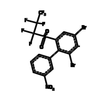 O=[N+]([O-])c1cccc(-c2c(Br)[c]c(Br)cc2S(=O)(=O)C(F)(F)C(F)(F)C(F)(F)F)c1